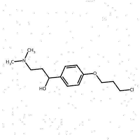 CN(C)CCC(O)c1ccc(OCCCCl)cc1